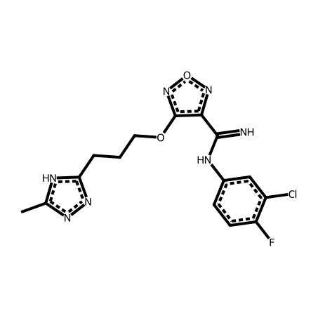 Cc1nnc(CCCOc2nonc2C(=N)Nc2ccc(F)c(Cl)c2)[nH]1